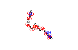 O=C(COc1ccc(OCC(=O)c2cccc(C(=O)COc3ccc(NC(=O)c4ccc(N5C(=O)C6C7CCC(C7)C6C5=O)cc4)cc3)c2)c(P2(=O)Oc3ccccc3-c3ccccc32)c1)c1ccc(OCC(=O)c2ccc3cc(OC(=O)c4ccc(N5C(=O)C6C7CCC(C7)C6C5=O)cc4)ccc3c2)cc1